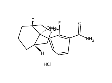 CO[C@@]1(c2cccc(C(N)=O)c2F)[C@@H]2CCC[C@H]1CN(C)C2.Cl